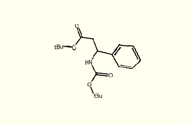 CC(C)(C)OC(=O)CC(NC(=O)OC(C)(C)C)c1ccccc1